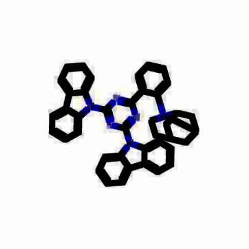 c1ccc(N2C3CC4CC(C3)CC2C4)c(-c2nc(-n3c4ccccc4c4ccccc43)nc(-n3c4ccccc4c4ccccc43)n2)c1